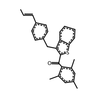 C/C=C/c1ccc(Cc2c(C(=O)c3c(C)cc(C)cc3C)sc3ccccc23)cc1